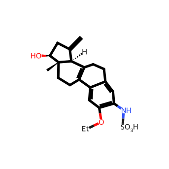 C=C1C[C@H](O)[C@@]2(C)CCC3=C(CCc4cc(NS(=O)(=O)O)c(OCC)cc43)[C@H]12